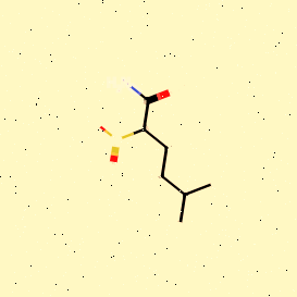 CC(C)CCC(C(N)=O)S(=O)O